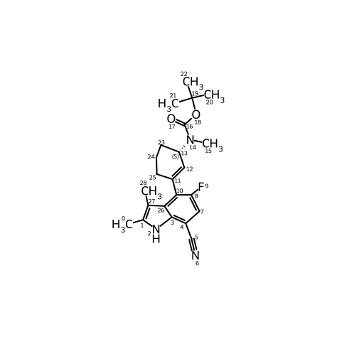 Cc1[nH]c2c(C#N)cc(F)c(C3=C[C@@H](N(C)C(=O)OC(C)(C)C)CCC3)c2c1C